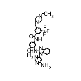 CCN1CCN(Cc2cc(C(=O)Nc3ccc(C)c(Nc4nc5ccccc5n4-c4cc(N)ncn4)c3)cc(C(F)(F)F)c2)CC1